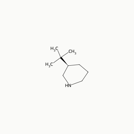 CC(C)(C)[C@H]1CCCNC1